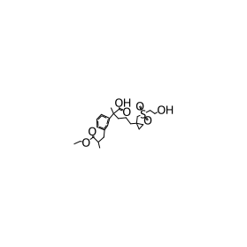 CCOC(=O)C(C)Cc1cccc(C(C)(CCCC2(CS(=O)(=O)CCO)CC2)C(=O)O)c1